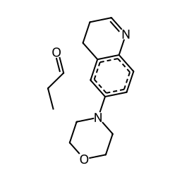 C1=Nc2ccc(N3CCOCC3)cc2CC1.CCC=O